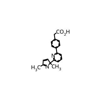 CC1=NC(C)(c2cccc(-c3ccc(CC(=O)O)cc3)n2)C=C1